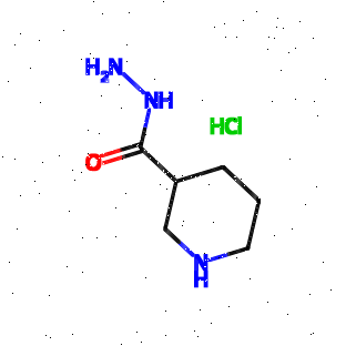 Cl.NNC(=O)C1CCCNC1